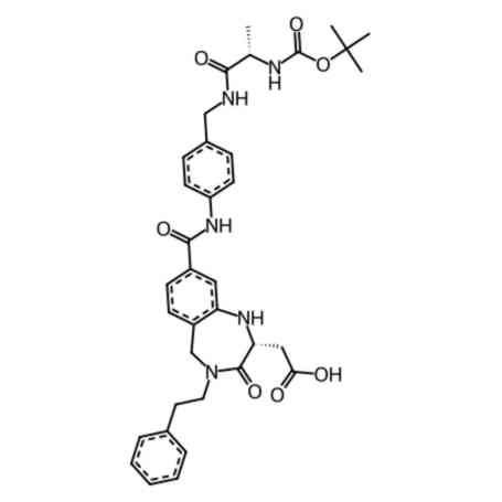 C[C@H](NC(=O)OC(C)(C)C)C(=O)NCc1ccc(NC(=O)c2ccc3c(c2)N[C@H](CC(=O)O)C(=O)N(CCc2ccccc2)C3)cc1